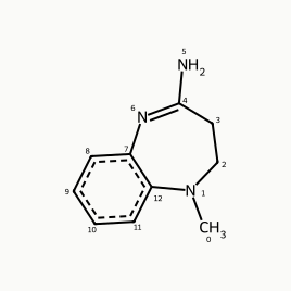 CN1CCC(N)=Nc2ccccc21